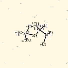 CCN(CC)[Si](C)(Cl)O[Si](C)(C)C(C)(C)C